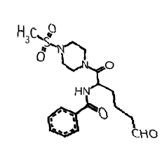 CS(=O)(=O)N1CCN(C(=O)C(CCCC=O)NC(=O)c2ccccc2)CC1